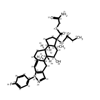 CCC(=O)O[C@]1(C(=O)SCC(N)=O)CC[C@H]2[C@@H]3CCC4=Cc5c(cnn5-c5ccc(F)cc5)C[C@]4(C)[C@H]3[C@@H](O)C[C@@]21C